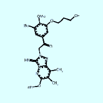 CCCOc1nn2c(=N)n(CC(=O)c3cc(OCCCO)c(OC)c(C(C)(C)C)c3)nc2c(C)c1C